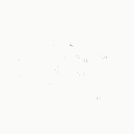 COC(=O)C[C@@H](Cc1c[nH]c2ccccc12)N(N)/C=C(\N)C(Cc1ccc(O)cc1)NC(=O)c1ccc(F)c(F)c1